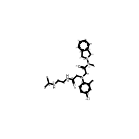 Cc1cc(Cl)ccc1N(CC(=O)NCCNC(C)C)CC(=O)N(C)N1Cc2ccccc2C1